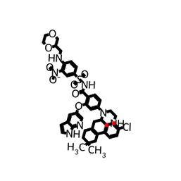 CC1(C)CCC(CC2CNCCN2c2ccc(C(=O)NS(=O)(=O)c3ccc(NCC4COCCO4)c([N+](=O)[O-])c3)c(Oc3cnc4[nH]ccc4c3)c2)=C(c2ccc(Cl)cc2)C1